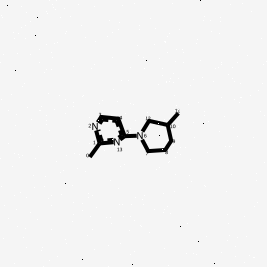 Cc1nccc(N2CCCC(C)C2)n1